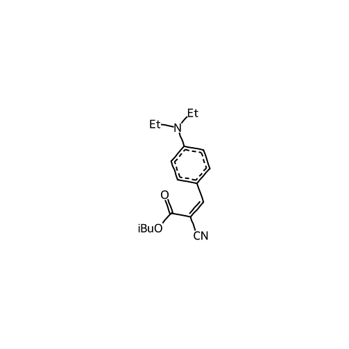 CCN(CC)c1ccc(C=C(C#N)C(=O)OCC(C)C)cc1